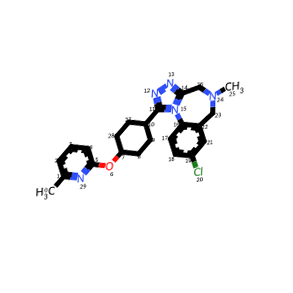 Cc1cccc(OC2CCC(c3nnc4n3-c3ccc(Cl)cc3CN(C)C4)CC2)n1